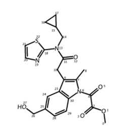 COC(=O)C(=O)n1c(C)c(CC(=O)N(CC2CC2)c2nccs2)c2cc(CO)ccc21